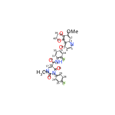 COc1cc2nccc(Oc3ccc(NC(=O)c4cn(C)c(=O)n(-c5ccc(F)cc5)c4=O)c(F)c3)c2c2c1OCCO2